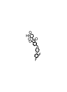 O=C1CCC(N2C(=O)c3ccc(CN4CCN(c5ccc(F)cc5F)CC4)cc3C2=O)C(=O)N1